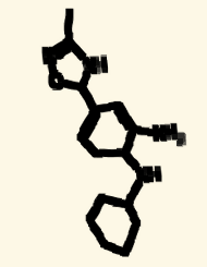 CC1=NOC(C2=CCC(NC3CCCCC3)C(N)=C2)N1